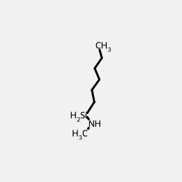 CCCCCC[SiH2]NC